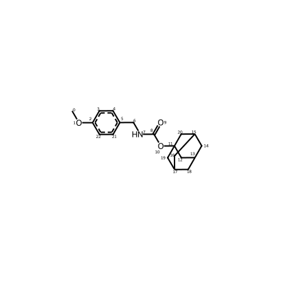 COc1ccc(CNC(=O)OC23CC4CC(CC(C4)C2)C3)cc1